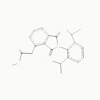 COC(=O)Cc1cccc2c1C(=O)N(c1c(C(C)C)cccc1C(C)C)C2=O